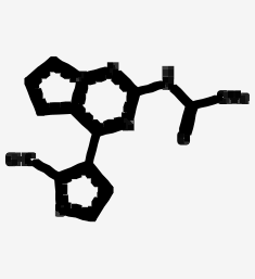 COC(=O)Nc1nc(-c2ccsc2C=O)c2cccn2n1